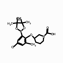 Cc1cc(Cl)cc(B2OC(C)(C)C(C)(C)O2)c1OC1CCCN(C(=O)O)C1